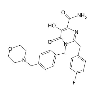 NC(=O)c1nc(Cc2ccc(F)cc2)n(Cc2ccc(CN3CCOCC3)cc2)c(=O)c1O